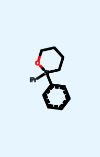 CC(C)[Si]1(c2ccccc2)CCCCO1